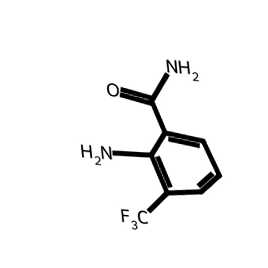 NC(=O)c1cccc(C(F)(F)F)c1N